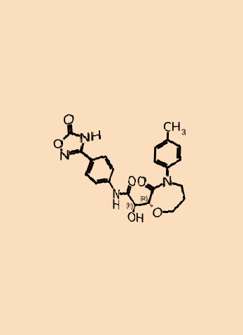 Cc1ccc(N2CCCO[C@H]([C@@H](O)C(=O)Nc3ccc(-c4noc(=O)[nH]4)cc3)C2=O)cc1